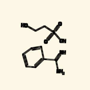 N=C(N)c1ccccc1.O=S(=O)(O)CCO